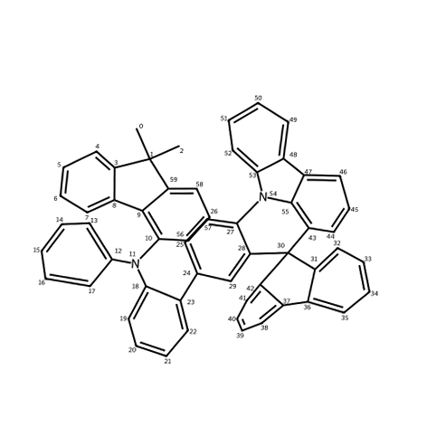 CC1(C)c2ccccc2-c2c(N(c3ccccc3)c3ccccc3-c3ccc4c(c3)C3(c5ccccc5-c5ccccc53)c3cccc5c6ccccc6n-4c35)cccc21